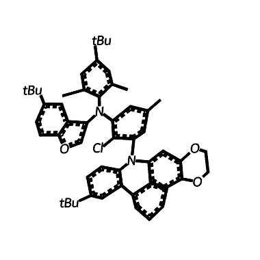 Cc1cc(N(c2ccc3c(c2)OCCO3)c2ccc(C(C)(C)C)cc2-c2ccccc2)c(Cl)c(N(c2c(C)cc(C(C)(C)C)cc2C)c2coc3ccc(C(C)(C)C)cc23)c1